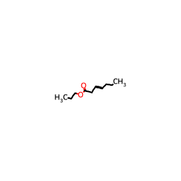 CCCC=CCC(=O)OCCC